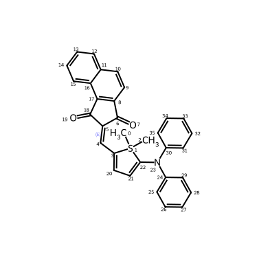 CS1(C)C(/C=C2\C(=O)c3ccc4ccccc4c3C2=O)=CC=C1N(c1ccccc1)c1ccccc1